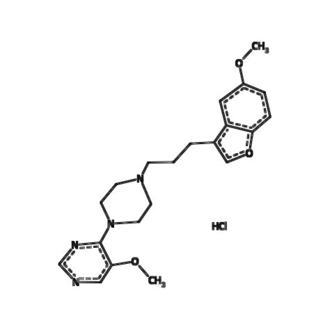 COc1ccc2occ(CCCN3CCN(c4ncncc4OC)CC3)c2c1.Cl